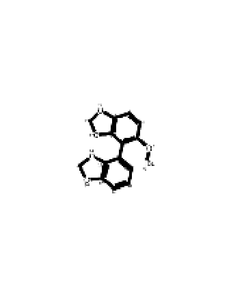 CCC(C)Oc1ccc2c(c1-c1cccc3c1OCO3)OCO2